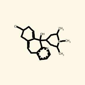 CC1CC(C2(O)C3=CCC(Cl)CC3=CCc3cccnc32)CC(C)N1C